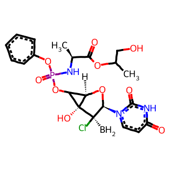 B[C@@]1(Cl)[C@H](n2ccc(=O)[nH]c2=O)O[C@@H]2C(OP(=O)(N[C@@H](C)C(=O)OC(C)CO)Oc3ccccc3)[C@@]21O